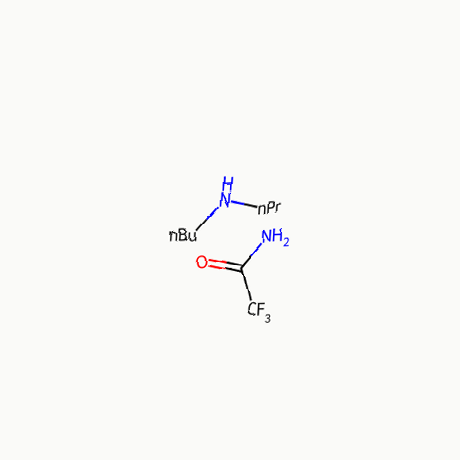 CCCCNCCC.NC(=O)C(F)(F)F